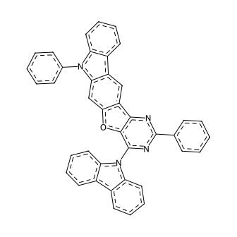 c1ccc(-c2nc(-n3c4ccccc4c4ccccc43)c3oc4cc5c(cc4c3n2)c2ccccc2n5-c2ccccc2)cc1